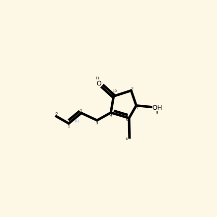 C/C=C/CC1=C(C)C(O)CC1=O